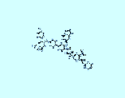 CC1(C)C=C(c2ccc(Cl)cc2)C(CN2CCN(c3ccc(C(=O)NS(=O)(=O)c4ccc(NCC5CCOCC5)c([N+](=O)[O-])c4)c(Oc4ccc5[nH]ccc5c4)c3)CC2)=CC1